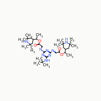 CC(OC(=O)C=Nc1nc(N=CC(=O)OC(C)C2CC(C)(C)NC(C)(C)C2)nc(NC(C)(C)C)n1)C1CC(C)(C)NC(C)(C)C1